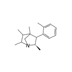 Cc1ccccc1C1[C@@H](C)N2CC1(C)C(C)C2C